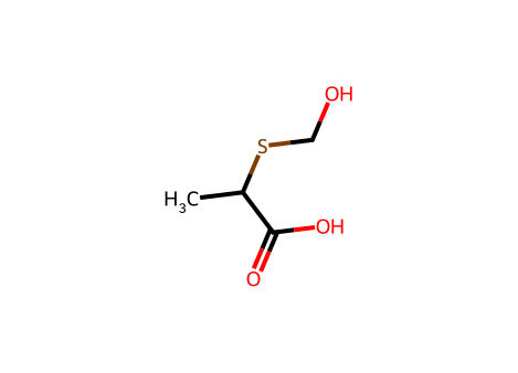 CC(SCO)C(=O)O